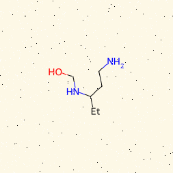 CCC(CCN)NCO